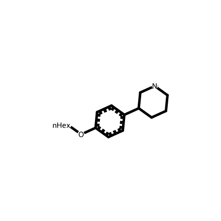 CCCCCCOc1ccc(C2CCC[N]C2)cc1